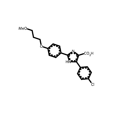 COCCCOc1ccc(-c2nc(C(=O)O)c(-c3ccc(Cl)cc3)[nH]2)cc1